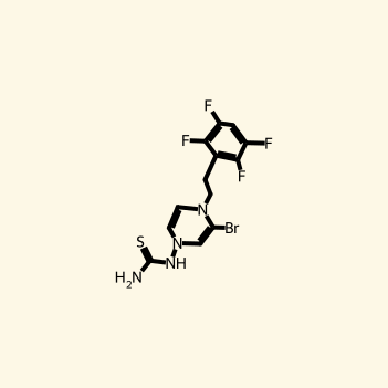 NC(=S)NN1C=CN(CCc2c(F)c(F)cc(F)c2F)C(Br)=C1